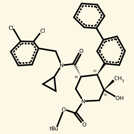 CC(C)(C)OC(=O)N1C[C@H](C(=O)N(Cc2cccc(Cl)c2Cl)C2CC2)[C@@H](c2cccc(-c3ccccc3)c2)[C@](C)(O)C1